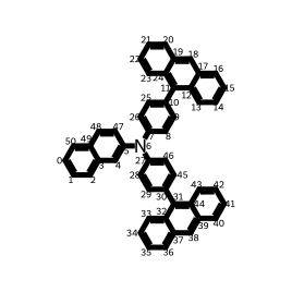 c1ccc2cc(N(c3ccc(-c4c5ccccc5cc5ccccc45)cc3)c3ccc(-c4c5ccccc5cc5ccccc45)cc3)ccc2c1